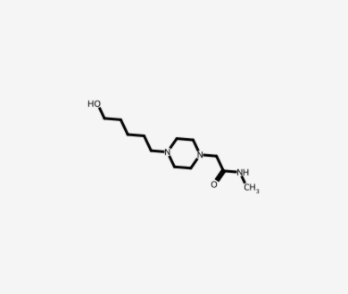 CNC(=O)CN1CCN(CCCCCO)CC1